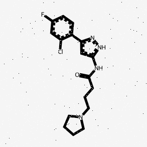 O=C(CCCN1CCCC1)Nc1cc(-c2ccc(F)cc2Cl)n[nH]1